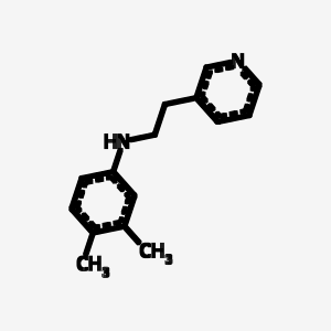 Cc1ccc(NCCc2cccnc2)cc1C